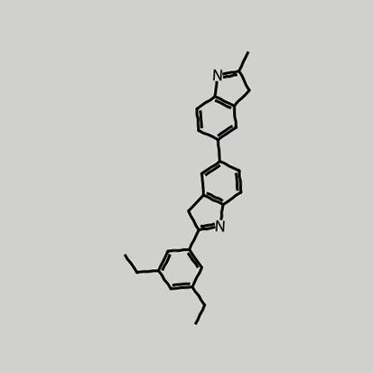 CCc1cc(CC)cc(C2=Nc3ccc(-c4ccc5c(c4)CC(C)=N5)cc3C2)c1